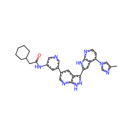 Cc1cn(-c2ccnc3[nH]c(-c4n[nH]c5ncc(-c6cncc(NC(=O)CC7CCCCC7)c6)cc45)cc23)cn1